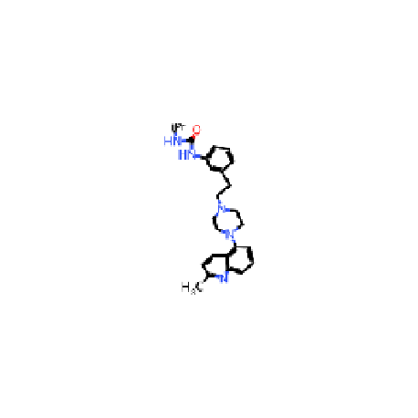 Cc1ccc2c(N3CCN(CCc4cccc(NC(=O)NC(C)C)c4)CC3)cccc2n1